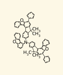 CC1(C)c2cc(N(c3ccc4c(c3)C(C)(C)c3cc(-c5ccccc5)c5oc6ccccc6c5c3-4)c3cccc4oc5ccccc5c34)ccc2-c2c1cc(-c1ccccc1)c1oc3ccccc3c21